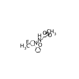 C[C@]1(F)CCN(C(=O)NC/C=C/S(C)(=O)=O)[C@H](c2ccccc2)C1